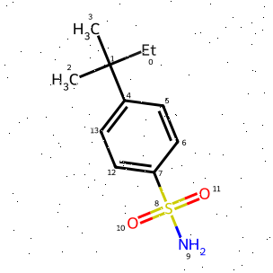 CCC(C)(C)c1ccc(S(N)(=O)=O)cc1